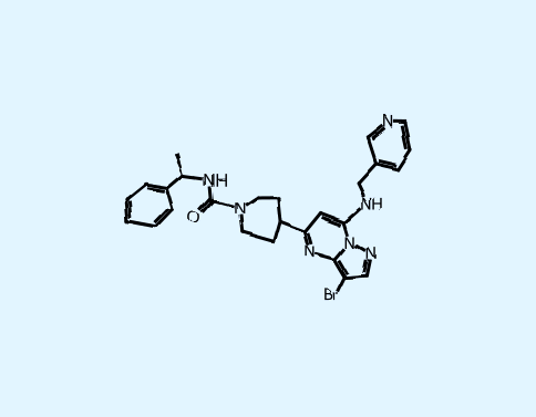 C[C@@H](NC(=O)N1CCC(c2cc(NCc3cccnc3)n3ncc(Br)c3n2)CC1)c1ccccc1